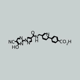 N#Cc1cnc(-n2cc(C(=O)NCc3ccc(-c4ccc(C(=O)O)cc4)nc3)cn2)nc1O